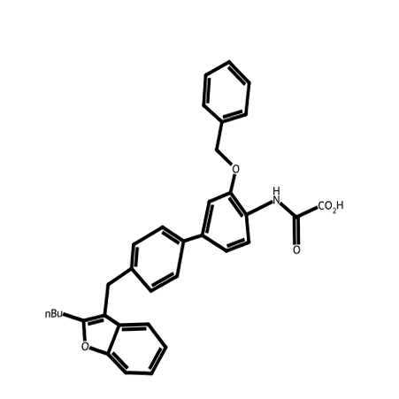 CCCCc1oc2ccccc2c1Cc1ccc(-c2ccc(NC(=O)C(=O)O)c(OCc3ccccc3)c2)cc1